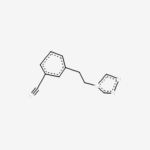 N#Cc1cccc(CCn2cnnc2)c1